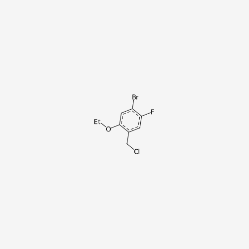 CCOc1cc(Br)c(F)cc1CCl